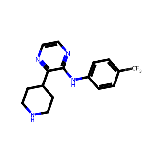 FC(F)(F)c1ccc(Nc2nccnc2C2CCNCC2)cc1